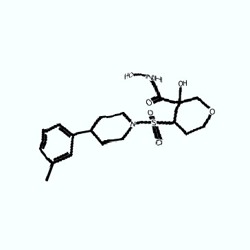 Cc1cccc(C2CCN(S(=O)(=O)C3CCOCC3(O)C(=O)NO)CC2)c1